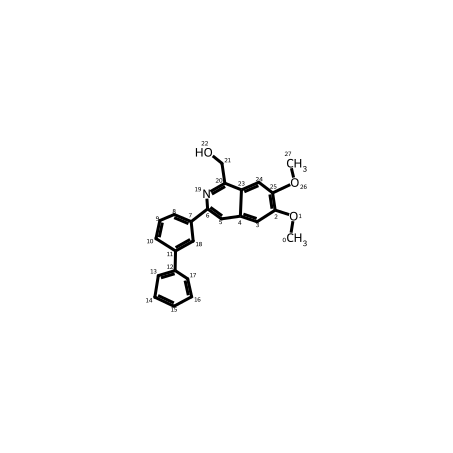 COc1cc2cc(-c3cccc(-c4ccccc4)c3)nc(CO)c2cc1OC